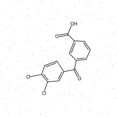 O=C(O)c1cccc(C(=O)c2ccc(Cl)c(Cl)c2)c1